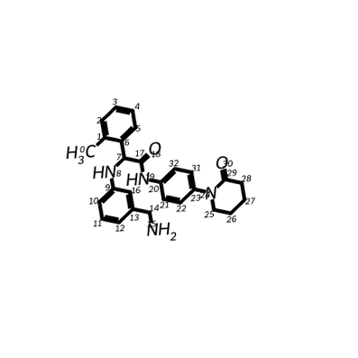 Cc1ccccc1C(Nc1cccc(CN)c1)C(=O)Nc1ccc(N2CCCCC2=O)cc1